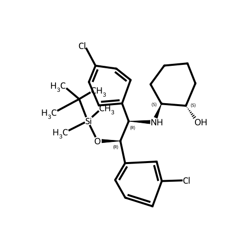 CC(C)(C)[Si](C)(C)O[C@H](c1cccc(Cl)c1)[C@H](N[C@H]1CCCC[C@@H]1O)c1ccc(Cl)cc1